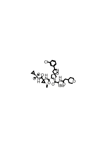 C=C[C@@H]1C[C@]1(NC(=O)[C@@H]1C[C@]2(CC(c3cccc(Cl)c3)=NO2)CN1C(=O)[C@@H](NC(=O)CC1CCOCC1)C(C)(C)C)C(=O)NS(=O)(=O)C1CC1